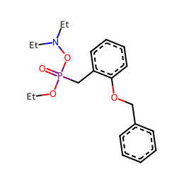 CCOP(=O)(Cc1ccccc1OCc1ccccc1)ON(CC)CC